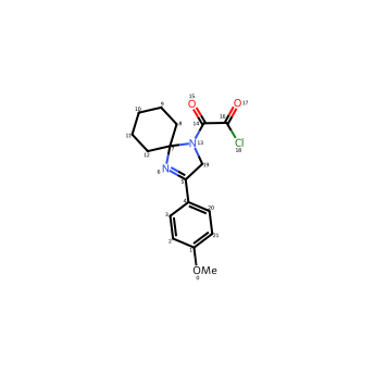 COc1ccc(C2=NC3(CCCCC3)N(C(=O)C(=O)Cl)C2)cc1